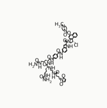 CN1CCN(C(=O)Oc2cc3c(c4ccccc24)[C@H](CCl)CN3C(=O)c2cc3cc(NC(=O)c4ccc(OC(=O)[C@H](CCCNC(N)=O)NC(=O)[C@H](CCCBC(N)=O)NCCNC(=O)CCCN5C(=O)C=CC5=O)cc4)ccc3[nH]2)CC1